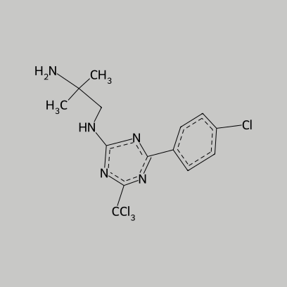 CC(C)(N)CNc1nc(-c2ccc(Cl)cc2)nc(C(Cl)(Cl)Cl)n1